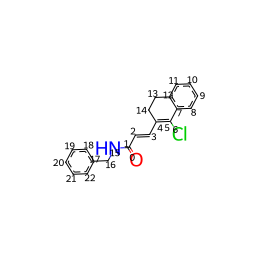 O=C(C=CC1=C(Cl)c2ccccc2CC1)NCc1ccccc1